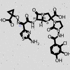 Nc1nc(/C(=N/OC2(C(=O)O)CC2)C(=O)N[C@@H]2C(=O)N3CC(C(=O)O)(N4CCN(NC(=O)c5ccc(O)c(O)c5Cl)C4=O)S[C@H]23)cs1